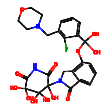 O=C1c2cccc(OC(O)(O)c3cccc(CN4CCOCC4)c3F)c2CN1C1(O)C(=O)NC(=O)C(O)(O)C1(O)O